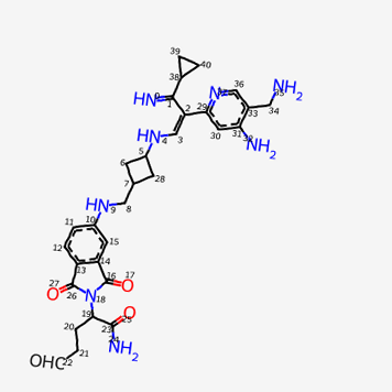 N=C(/C(=C\NC1CC(CNc2ccc3c(c2)C(=O)N(C(CCC=O)C(N)=O)C3=O)C1)c1cc(N)c(CN)cn1)C1CC1